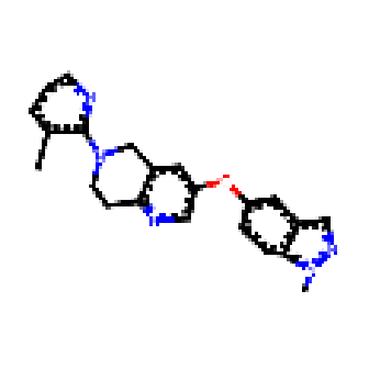 Cc1cccnc1N1CCc2ncc(Oc3ccc4c(cnn4C)c3)cc2C1